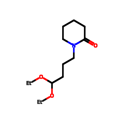 CCOC(CCCN1CCCCC1=O)OCC